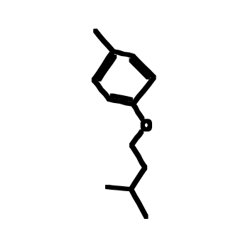 Cc1ccc(OCCC(C)C)cc1